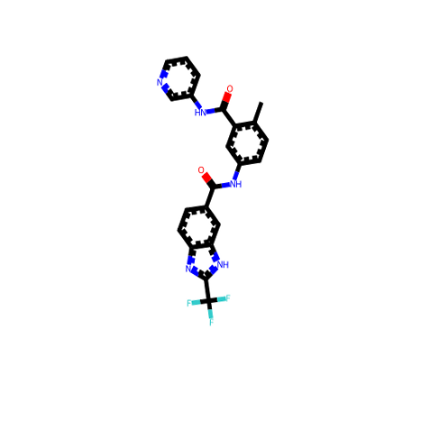 Cc1ccc(NC(=O)c2ccc3nc(C(F)(F)F)[nH]c3c2)cc1C(=O)Nc1cccnc1